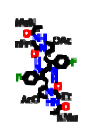 CCC[C@H](NC(=O)[C@H](C)NC)C(=O)N1C[C@@H](OC(C)=O)C[C@H]1Cc1c(-c2[nH]c3cc(F)ccc3c2C[C@@H]2C[C@H](OC(C)=O)CN2C(=O)[C@H](CC)NC(=O)[C@H](C)NC)[nH]c2cc(F)ccc12